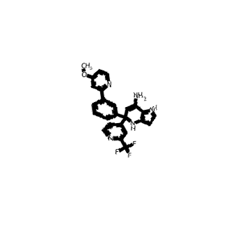 COc1ccnc(-c2cccc(C3(c4ccnc(C(F)(F)F)c4)C=C(N)c4[nH]ccc4N3)c2)c1